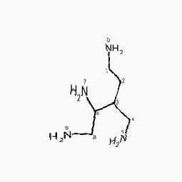 NCCC(CN)C(N)CN